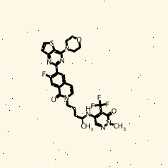 C[C@@H](CCCn1ccc2cc(-c3nc(N4CCOCC4)c4sccc4n3)c(F)cc2c1=O)Nc1cnn(C)c(=O)c1C(F)(F)F